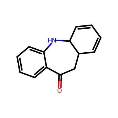 O=C1CC2C=CC=CC2Nc2ccccc21